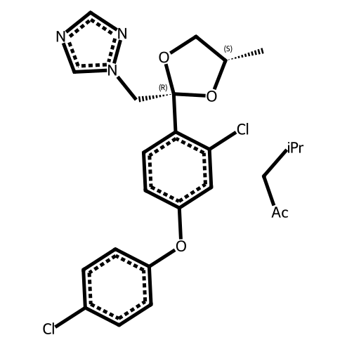 CC(=O)CC(C)C.C[C@H]1CO[C@](Cn2cncn2)(c2ccc(Oc3ccc(Cl)cc3)cc2Cl)O1